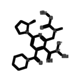 C[C@@H]1CCCN1c1cc(C(=O)N2CCCCC2)c(C(=N)[S+]([O-])C(C)(C)C)c(CN(C)C(=O)OC(C)(C)C)n1